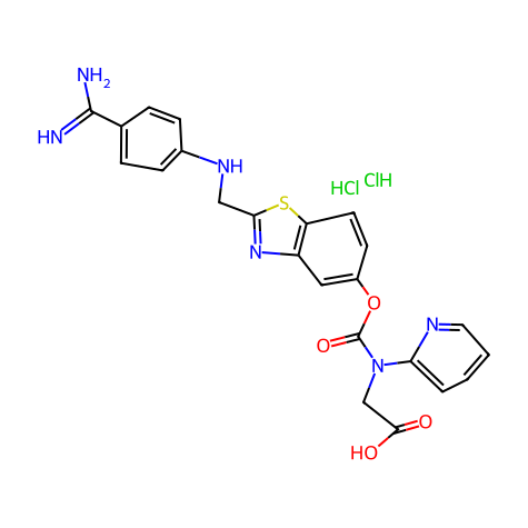 Cl.Cl.N=C(N)c1ccc(NCc2nc3cc(OC(=O)N(CC(=O)O)c4ccccn4)ccc3s2)cc1